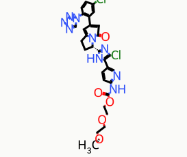 COCCOCCOC(=O)Nc1ccc(-c2[nH]c([C@@H]3CCc4cc(-c5cc(Cl)ccc5-n5cnnn5)cc(=O)n43)nc2Cl)cn1